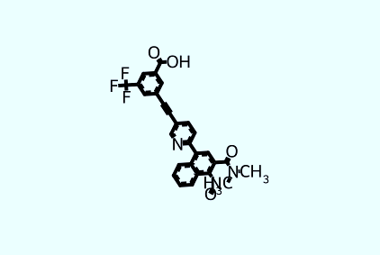 CN(C)C(=O)c1cc(-c2ccc(C#Cc3cc(C(=O)O)cc(C(F)(F)F)c3)cn2)c2ccccc2c1N=O